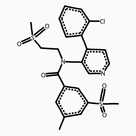 Cc1cc(C(=O)N(CCS(C)(=O)=O)c2cnccc2-c2ccccc2Cl)cc(S(C)(=O)=O)c1